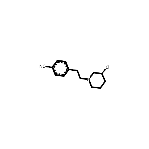 N#Cc1ccc(CCN2CCC[C@H](Cl)C2)cc1